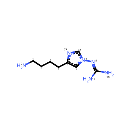 NCCCCc1cn(N=C(N)N)cn1